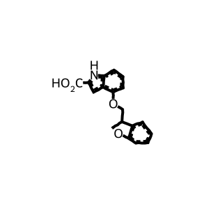 O=C(O)c1cc2c(OCC3COc4ccccc43)cccc2[nH]1